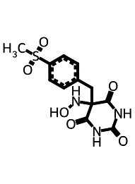 CS(=O)(=O)c1ccc(CC2(NO)C(=O)NC(=O)NC2=O)cc1